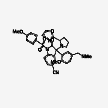 CNCc1ccc(OC)c(C2(N3CCCC3c3ncco3)C(=O)N(S(=O)(=O)c3ccc(OC)cc3)c3ccc(C#N)cc32)c1